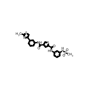 Cc1nc(-c2cccc(NC(=O)c3csc(C(=O)Nc4cccc(NS(C)(=O)=O)c4)c3)c2)cs1